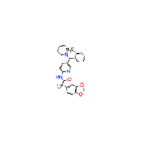 Cc1ccccc1C(c1ccc(NC(=O)C2(c3ccc4c(c3)OCO4)CC2)nc1)N1CCCCC1